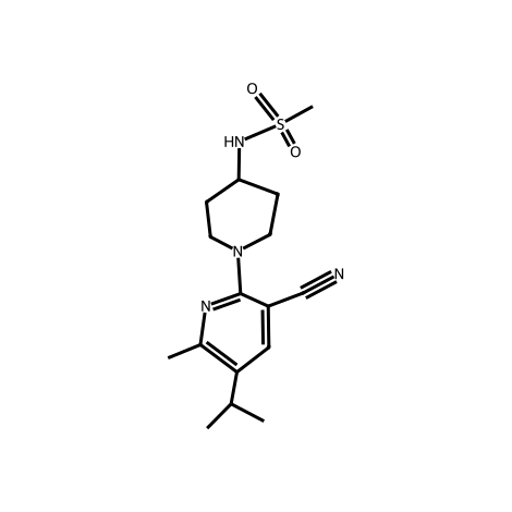 Cc1nc(N2CCC(NS(C)(=O)=O)CC2)c(C#N)cc1C(C)C